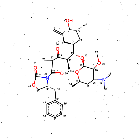 C=CC[C@@H](C[C@@H](C)CO)[C@H](O[C@@H]1O[C@H](C)CC(N(C)C)C1OC)[C@@H](C)C(=O)C(C)C(=O)N1C(=O)OC[C@H]1Cc1ccccc1